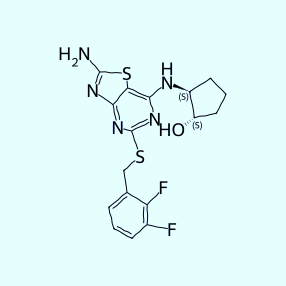 Nc1nc2nc(SCc3cccc(F)c3F)nc(N[C@H]3CCC[C@@H]3O)c2s1